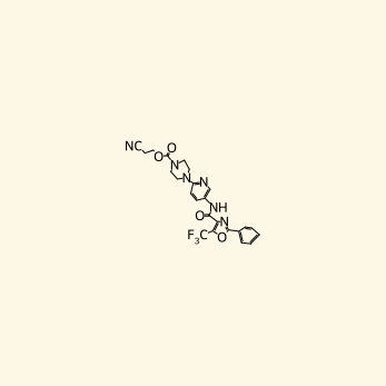 N#CCCOC(=O)N1CCN(c2ccc(NC(=O)c3nc(-c4ccccc4)oc3C(F)(F)F)cn2)CC1